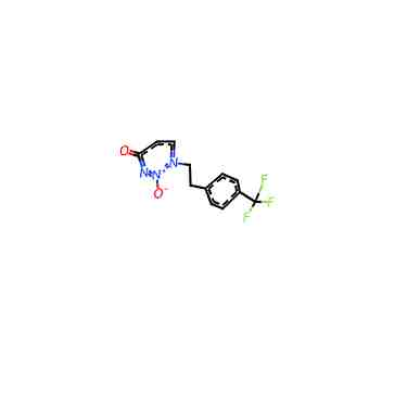 O=c1ccn(CCc2ccc(C(F)(F)F)cc2)[n+]([O-])n1